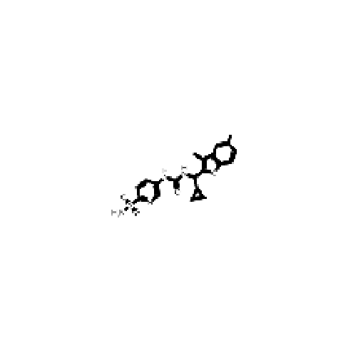 Cc1c(C(NC(=O)Nc2ccc(S(N)(=O)=O)nc2)C2CC2)oc2ccc(F)cc12